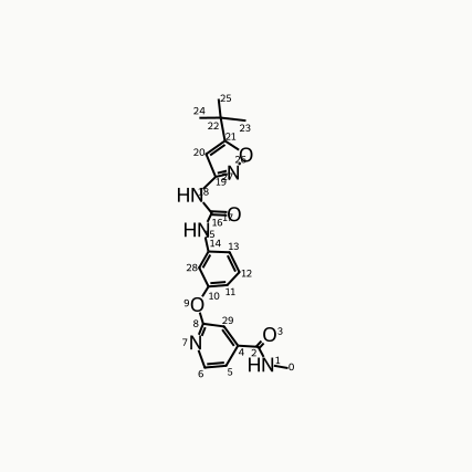 CNC(=O)c1ccnc(Oc2cccc(NC(=O)Nc3cc(C(C)(C)C)on3)c2)c1